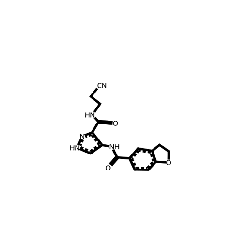 N#CCCNC(=O)c1n[nH]cc1NC(=O)c1ccc2c(c1)CCO2